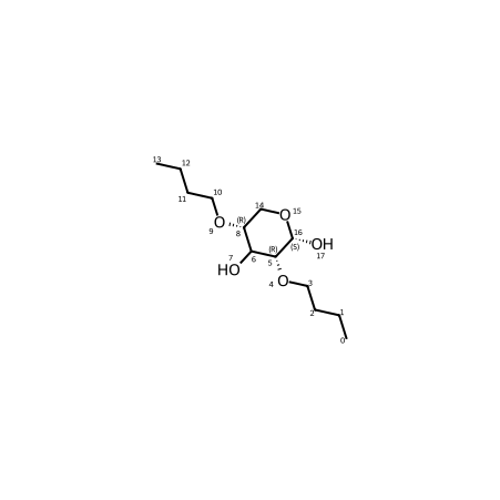 CCCCO[C@@H]1C(O)[C@H](OCCCC)CO[C@@H]1O